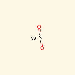 O=[Si]=O.[W]